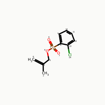 C=C(C)COS(=O)(=O)c1ccccc1Cl